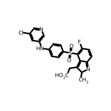 CC1N=c2ccc(F)c(S(=O)(=O)c3ccc(Nc4cncc(Cl)c4)cc3)c2=C1CC(=O)O